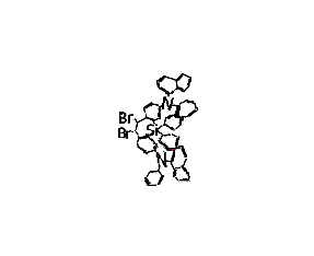 BrC1c2ccc(N(c3ccccc3)c3cccc4ccccc34)cc2[Si](c2ccccc2)(c2ccccc2)c2cc(N(c3ccccc3)c3cccc4ccccc34)ccc2C1Br